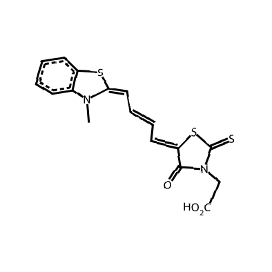 CN1C(=CC=CC=C2SC(=S)N(CC(=O)O)C2=O)Sc2ccccc21